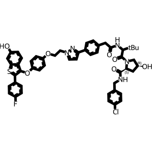 CC(C)(C)C(NC(=O)Cc1ccc(-c2ccn(CCOc3ccc(Oc4c(-c5ccc(F)cc5)sc5cc(O)ccc45)cc3)n2)cc1)C(=O)N1C[C@H](O)C[C@H]1C(=O)NCc1ccc(Cl)cc1